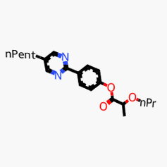 CCCCCc1cnc(-c2ccc(OC(=O)C(C)OCCC)cc2)nc1